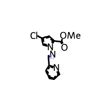 COC(=O)c1cc(Cl)cn1/N=C/c1ccccn1